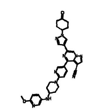 COc1ccc(NC2CCN(c3ccc(-c4nc(-c5cnn(C6CCC(=O)CC6)c5)cn5ncc(C#N)c45)cn3)CC2)cn1